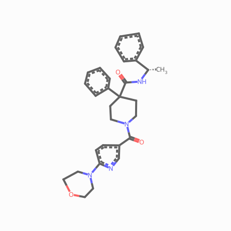 C[C@H](NC(=O)C1(c2ccccc2)CCN(C(=O)c2ccc(N3CCOCC3)nc2)CC1)c1ccccc1